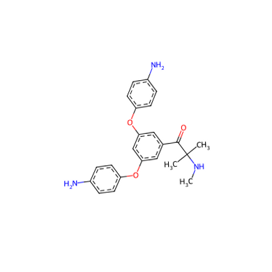 CNC(C)(C)C(=O)c1cc(Oc2ccc(N)cc2)cc(Oc2ccc(N)cc2)c1